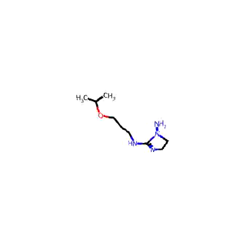 CC(C)OCCCNC1=NCCN1N